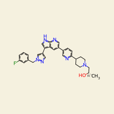 C[C@H](O)CN1CCC(c2ccc(-c3cnc4[nH]cc(-c5cnn(Cc6cccc(F)c6)c5)c4c3)cn2)CC1